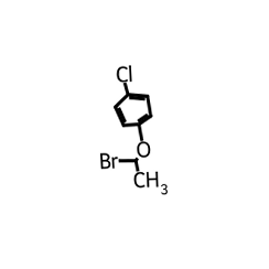 CC(Br)Oc1ccc(Cl)cc1